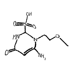 COCCN1C(N)=CC(=O)NC1S(=O)(=O)O